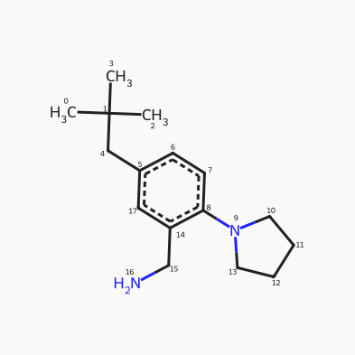 CC(C)(C)Cc1ccc(N2CCCC2)c(CN)c1